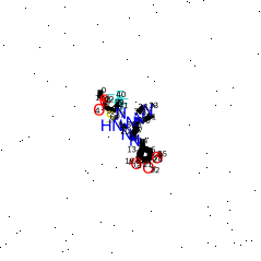 CCOC(=O)c1sc(Nc2nc(N(C)Cc3cc(OC)c(OC)c(OC)c3)cc(N3CCN(C)CC3)n2)nc1C(F)(F)F